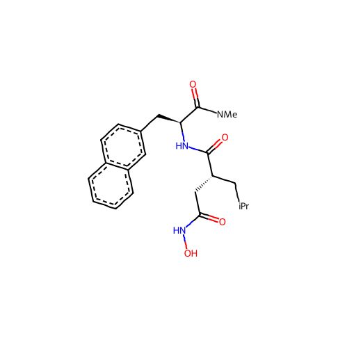 CNC(=O)[C@H](Cc1ccc2ccccc2c1)NC(=O)[C@@H](CC(=O)NO)CC(C)C